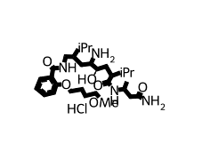 COCCCCOc1ccccc1C(=O)NCC(CC(N)[C@@H](O)CC(C(=O)NC(C)CC(N)=O)C(C)C)C(C)C.Cl